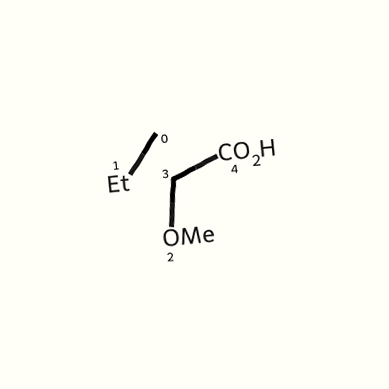 CCC.COCC(=O)O